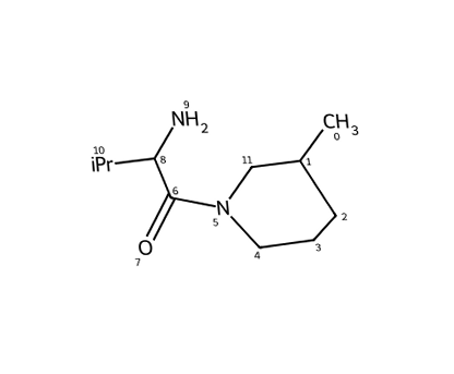 CC1CCCN(C(=O)C(N)C(C)C)C1